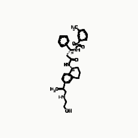 C=C(CNCCO)c1ccc2c(c1)CCC[C@H]2NC(=O)C[C@@H](NS(=O)(=O)c1cccc(C(F)(F)F)c1)c1ccccc1